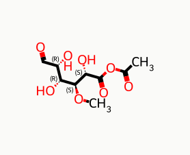 CO[C@@H]([C@H](O)[C@@H](O)C=O)[C@H](O)C(=O)OC(C)=O